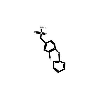 CNS(=O)(=O)Cc1ccc(Nc2ccccc2)c(I)c1